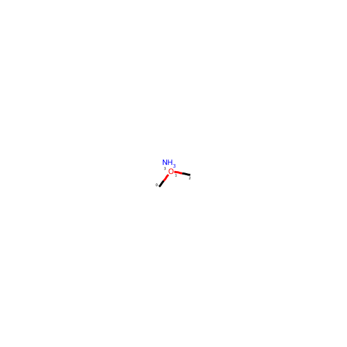 COC.N